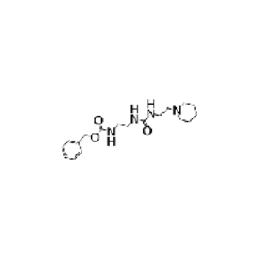 O=C(NCCNC(=O)OCc1ccccc1)NCCN1CCCCC1